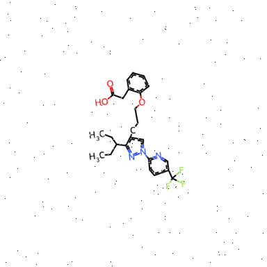 CCC(CC)c1nn(-c2ccc(C(F)(F)F)cn2)cc1CCCOc1ccccc1CC(=O)O